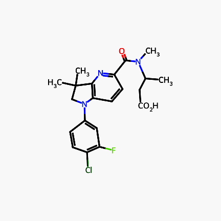 CC(CC(=O)O)N(C)C(=O)c1ccc2c(n1)C(C)(C)CN2c1ccc(Cl)c(F)c1